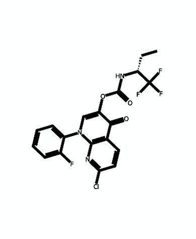 CC[C@@H](NC(=O)Oc1cn(-c2ccccc2F)c2nc(Cl)ccc2c1=O)C(F)(F)F